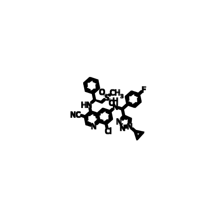 CS(=O)(=O)C[C@@H](Nc1c(C#N)cnc2c(Cl)cc(NC(c3ccc(F)cc3)c3cn(C4CC4)nn3)cc12)c1ccccc1